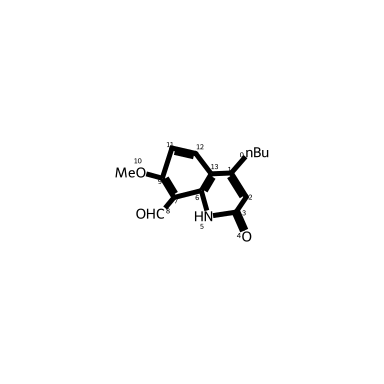 CCCCc1cc(=O)[nH]c2c(C=O)c(OC)ccc12